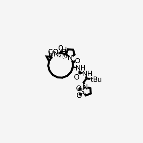 CC(C)(C)C(CN1CCCS1(=O)=O)NC(=O)N[C@H]1CCCCCCCC2C[C@@]2(C(=O)O)NC(=O)[C@@H]2CCCN2C1=O